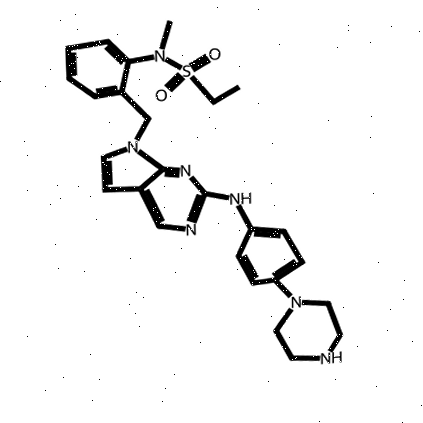 CCS(=O)(=O)N(C)c1ccccc1Cn1ccc2cnc(Nc3ccc(N4CCNCC4)cc3)nc21